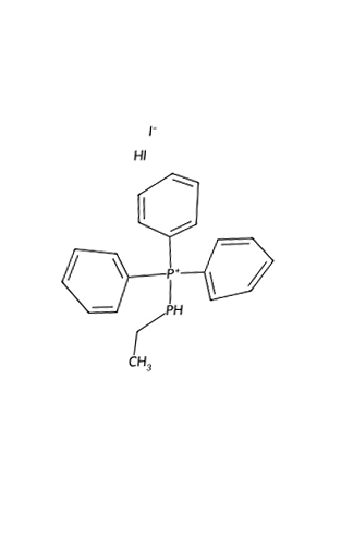 CCP[P+](c1ccccc1)(c1ccccc1)c1ccccc1.I.[I-]